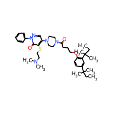 CCC(C)(C)c1ccc(OCCCC(=O)N2CCN(c3cnn(-c4ccccc4)c(=O)c3SCCN(C)C)CC2)c(C(C)(C)CC)c1